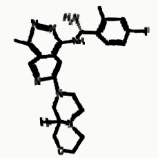 Cc1cc(F)ccc1[C@@H](N)Nc1nnc(C)c2cnc(N3CCN4CCOC[C@@H]4C3)cc12